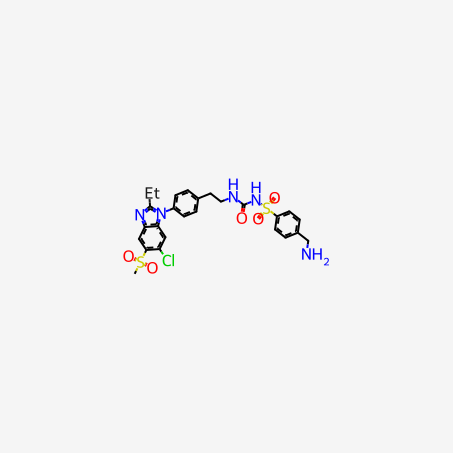 CCc1nc2cc(S(C)(=O)=O)c(Cl)cc2n1-c1ccc(CCNC(=O)NS(=O)(=O)c2ccc(CN)cc2)cc1